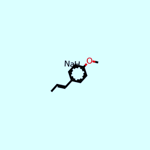 C/C=C/c1ccc(OC)cc1.[NaH]